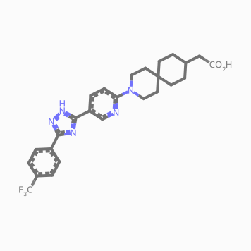 O=C(O)CC1CCC2(CC1)CCN(c1ccc(-c3nc(-c4ccc(C(F)(F)F)cc4)n[nH]3)cn1)CC2